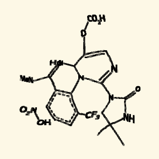 CNC(=O)c1cccc(C(F)(F)F)c1N1C(N2CC(C)(C)NC2=O)=NC=C(OC(=O)O)C1N.O=[N+]([O-])O